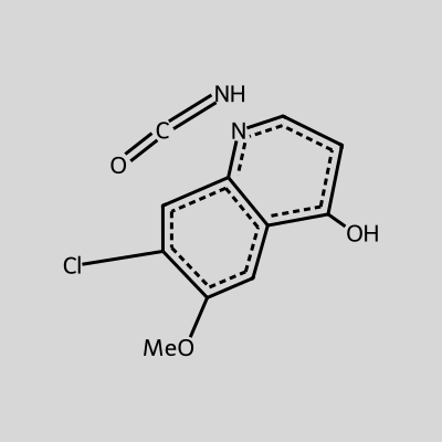 COc1cc2c(O)ccnc2cc1Cl.N=C=O